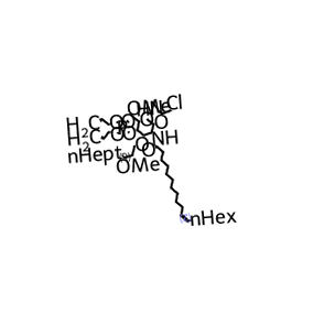 C=CCOP(=O)(OCC=C)OC1C(COC)OC(OC(=N)CCl)C(NC(=O)CCCCCCCCC/C=C\CCCCCC)C1OCC[C@@H](CCCCCCC)OC